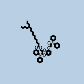 CCCCC(CCC)CCCCCCCCCC(=O)OCC(Oc1ccccc1OCC(=O)N(C1CCCCC1)C1CCCCC1)C(=O)N(C1CCCCC1)C1CCCCC1